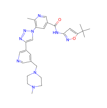 Cc1ncc(C(=O)Nc2cc(C(C)(C)C)on2)cc1-n1cc(-c2cncc(CN3CCN(C)CC3)c2)nn1